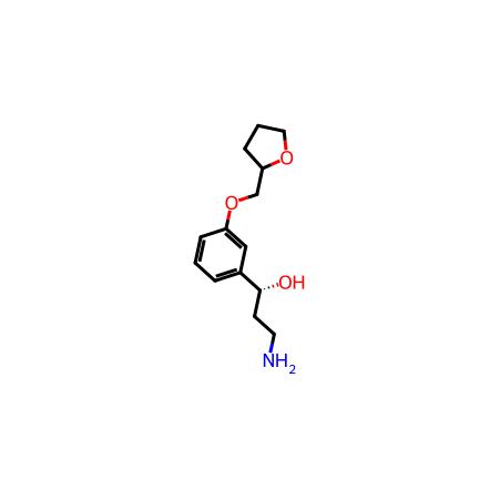 NCC[C@@H](O)c1cccc(OCC2CCCO2)c1